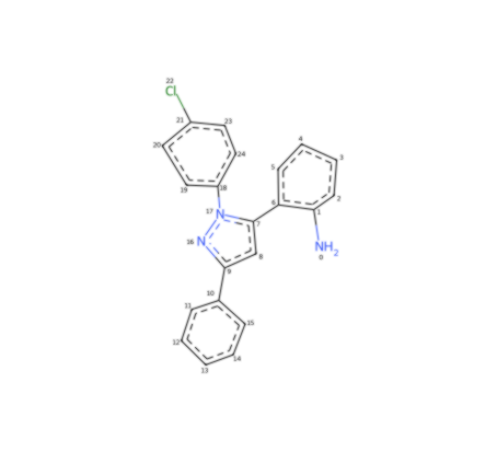 Nc1ccccc1-c1cc(-c2ccccc2)nn1-c1ccc(Cl)cc1